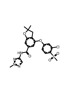 Cn1ncc(NC(=O)c2cc(Oc3ccc(S(C)(=O)=O)c(Cl)c3)c3c(c2)OC(C)(C)C3)n1